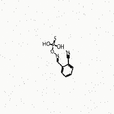 N#Cc1ccccc1C=NOP(O)(O)=S